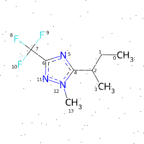 CCC(C)c1nc(C(F)(F)F)nn1C